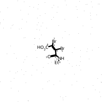 CCNC(=O)/C(Br)=C(/Br)C(=O)O